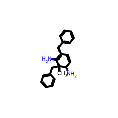 CC1(Cc2ccccc2)C(N)=C(Cc2ccccc2)C=CC1N